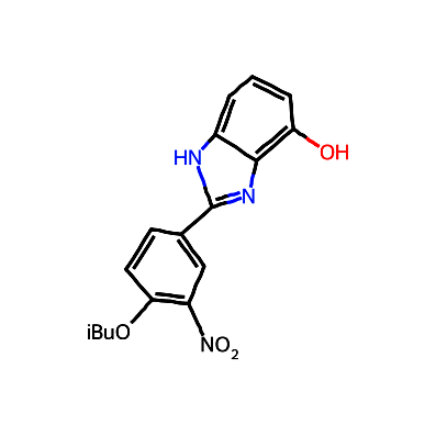 CC(C)COc1ccc(-c2nc3c(O)cccc3[nH]2)cc1[N+](=O)[O-]